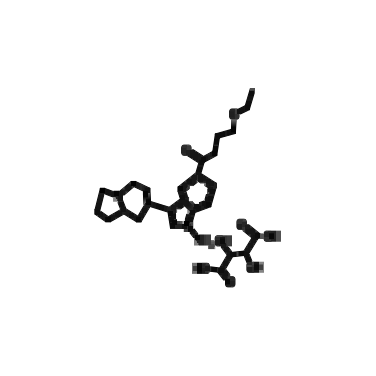 CCOCCCC(=O)c1ccc2c(c1)c(C1=CCN3CCCC3C1)cn2N.O=C(O)C(O)C(O)C(=O)O